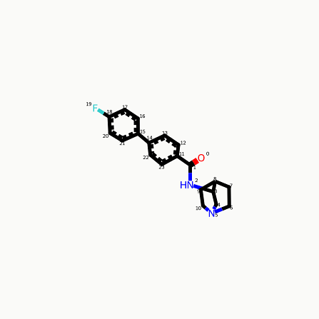 O=C(NC1CN2CCC1CC2)c1ccc(-c2ccc(F)cc2)cc1